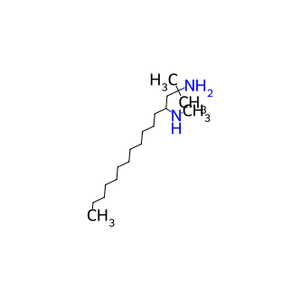 CCCCCCCCCCCCC(CC(C)(C)N)NC